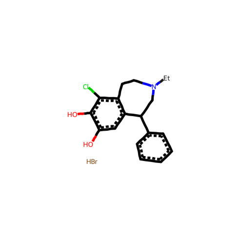 Br.CCN1CCc2c(cc(O)c(O)c2Cl)C(c2ccccc2)C1